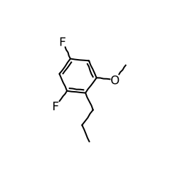 CCCc1c(F)cc(F)cc1OC